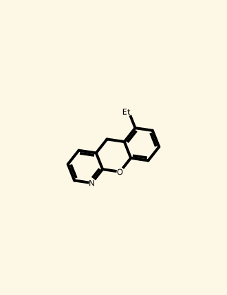 CCc1cccc2c1Cc1cccnc1O2